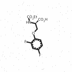 CCOC(=O)N[C@H](COc1ccc(F)cc1F)C(=O)O